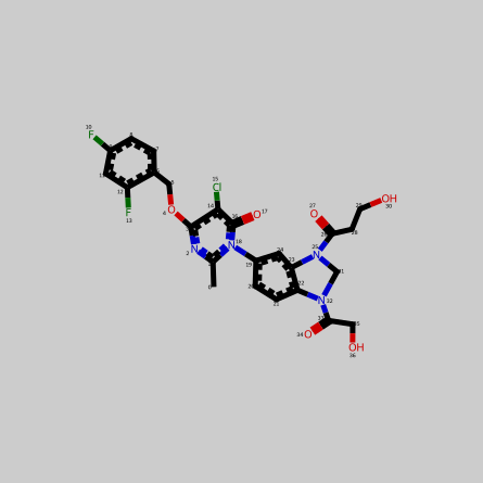 Cc1nc(OCc2ccc(F)cc2F)c(Cl)c(=O)n1-c1ccc2c(c1)N(C(=O)CCO)CN2C(=O)CO